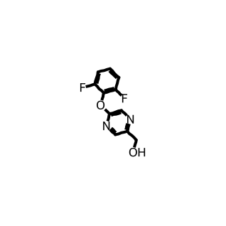 OCc1cnc(Oc2c(F)cccc2F)cn1